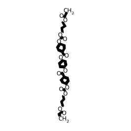 C=CC(=O)OCCCCOC(=O)Oc1ccc(C(=O)Oc2ccc(OC(=O)c3ccc(OC(=O)OCCCCOC(=O)C=C)cc3)cc2)cc1